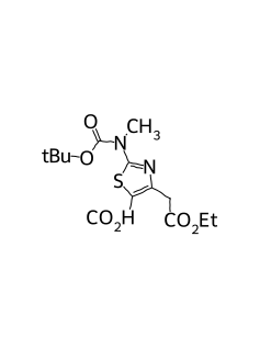 CCOC(=O)Cc1nc(N(C)C(=O)OC(C)(C)C)sc1C(=O)O